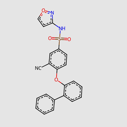 N#Cc1cc(S(=O)(=O)Nc2ccon2)ccc1Oc1ccccc1-c1ccccc1